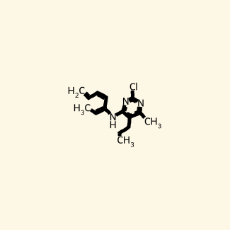 C=C/C=C\C(=C/C)Nc1nc(Cl)nc(C)c1CCC